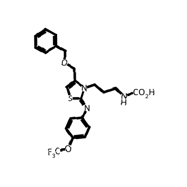 O=C(O)NCCCn1c(COCc2ccccc2)csc1=Nc1ccc(OC(F)(F)F)cc1